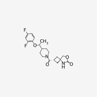 CC(Oc1ccc(F)cc1F)C1CCN(C(=O)[C@H]2C[C@]3(COC(=O)N3)C2)CC1